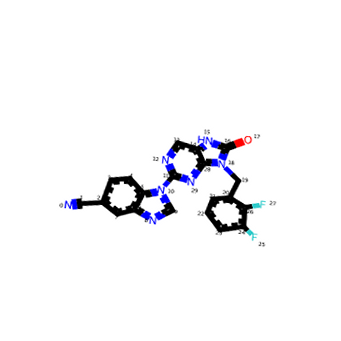 N#Cc1ccc2c(c1)ncn2-c1ncc2[nH]c(=O)n(Cc3cccc(F)c3F)c2n1